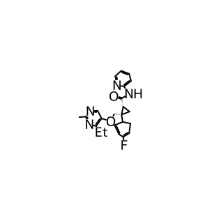 CCc1nc(C)ncc1OC[C@@]1(C2C=CC(F)=CC2)C[C@H]1C(=O)Nc1ccccn1